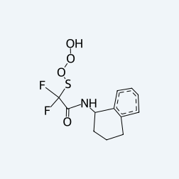 O=C(NC1CCCc2ccccc21)C(F)(F)SOOO